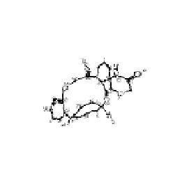 O=C1COCC2(CCCN3C(=S)COc4ccccc4[C@H]4CC[C@H](CC4)OCC32)N1